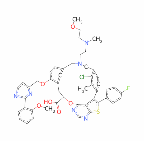 COCCN(C)CCN1Cc2ccc(OCc3ccnc(-c4ccccc4OC)n3)c(c2)CC(C(=O)O)Oc2ncnc3sc(-c4ccc(F)cc4)c(c23)-c2ccc(c(Cl)c2C)C1